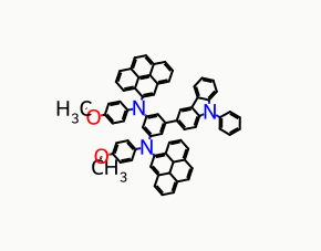 COc1ccc(N(C2=C3C=CC=C4C=CC5=CC=CC(=C2)C5C43)c2cc(-c3ccc4c(c3)c3ccccc3n4-c3ccccc3)cc(N(c3ccc(OC)cc3)c3cc4cccc5ccc6cccc3c6c54)c2)cc1